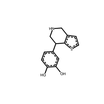 Oc1ccc(C2CNCc3ccsc32)cc1O